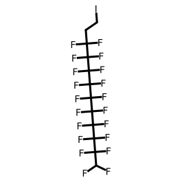 FC(F)C(F)(F)C(F)(F)C(F)(F)C(F)(F)C(F)(F)C(F)(F)C(F)(F)C(F)(F)C(F)(F)CCI